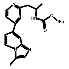 CC(Cc1cc(-c2ccn3c(I)cnc3c2)ccn1)NC(=O)OC(C)(C)C